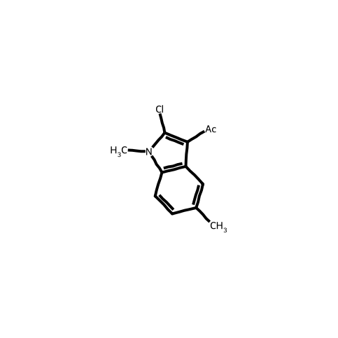 CC(=O)c1c(Cl)n(C)c2ccc(C)cc12